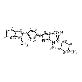 CC(C)N(c1nn(-c2ccc(-c3cc4ccccc4n3C)cc2)cc1C(=O)O)C(=O)[C@H]1CC[C@H](C)CC1